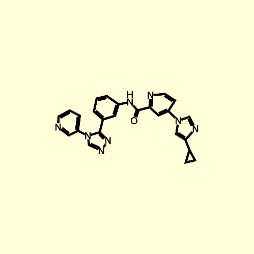 O=C(Nc1cccc(-c2nncn2-c2cccnc2)c1)c1cc(-n2cnc(C3CC3)c2)ccn1